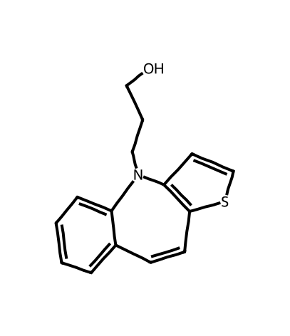 OCCCN1c2ccccc2C=Cc2sccc21